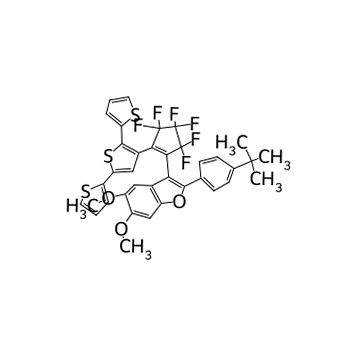 COc1cc2oc(-c3ccc(C(C)(C)C)cc3)c(C3=C(c4cc(-c5cccs5)sc4-c4cccs4)C(F)(F)C(F)(F)C3(F)F)c2cc1OC